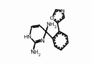 NC1=NC(N)(c2ccccc2-c2cnco2)C=CN1